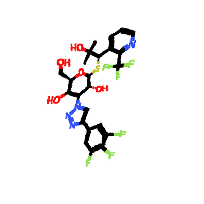 CC(C)(O)[C@@H](S[C@@H]1O[C@H](CO)[C@H](O)[C@H](n2cc(-c3cc(F)c(F)c(F)c3)nn2)[C@H]1O)c1cccnc1C(F)(F)F